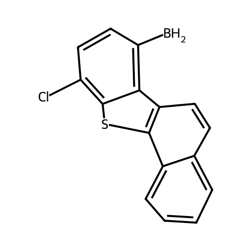 Bc1ccc(Cl)c2sc3c4ccccc4ccc3c12